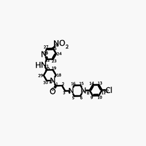 O=C(CCN1CCN(c2ccc(Cl)cc2)CC1)N1CCC(Nc2ccc([N+](=O)[O-])cn2)CC1